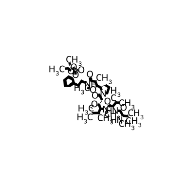 CCOP(=O)(OCC)Oc1ccccc1CCNC(=O)[C@H](C)[C@@H](OC)[C@@H]1CCCN1C(=O)C[C@@H](OC)C(C(C)CC)N(C)C(=O)[C@@H](NC(=O)C(NC)C(C)C)C(C)C